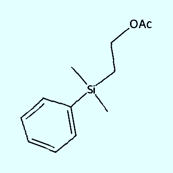 CC(=O)OCC[Si](C)(C)c1ccccc1